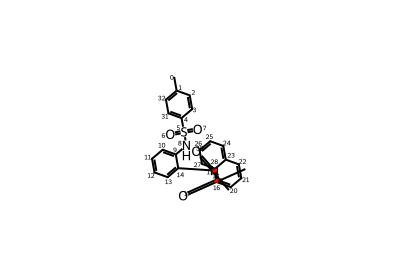 Cc1ccc(S(=O)(=O)Nc2ccccc2N2C(=O)CC3=CC=CC4=CC=CCC43C2=O)cc1